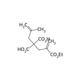 C=C(C)CC(CC(=C)C(=O)OCC)(C(=O)O)C(=O)O